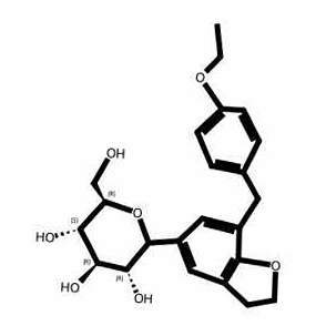 CCOc1ccc(Cc2cc(C3O[C@H](CO)[C@@H](O)[C@H](O)[C@H]3O)cc3c2OCC3)cc1